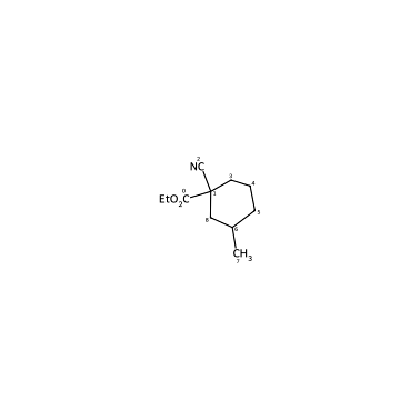 CCOC(=O)C1(C#N)CCCC(C)C1